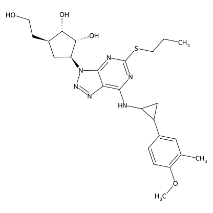 CCCSc1nc(NC2CC2c2ccc(OC)c(C)c2)c2nnn([C@H]3C[C@@H](CCO)[C@H](O)[C@@H]3O)c2n1